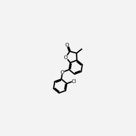 CC1C(=O)Oc2c(Oc3ccccc3Cl)cccc21